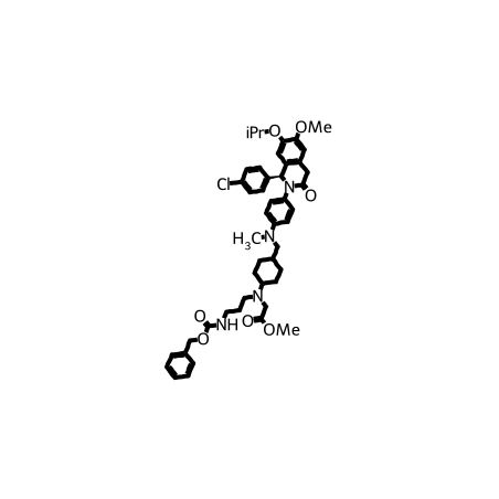 COC(=O)CN(CCCNC(=O)OCc1ccccc1)C1CCC(CN(C)c2ccc(N3C(=O)Cc4cc(OC)c(OC(C)C)cc4[C@@H]3c3ccc(Cl)cc3)cc2)CC1